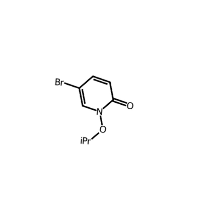 CC(C)On1cc(Br)ccc1=O